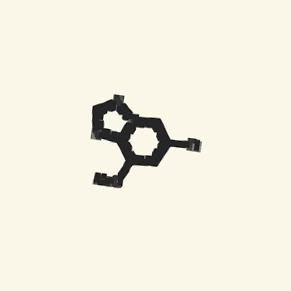 CCc1cc(OC)c2ncnn2c1